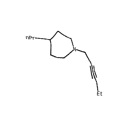 CCC#CCN1CCC(CCC)CC1